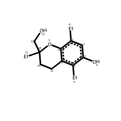 CCc1cc(O)c(CC)c2c1OC(CC)(CO)CC2